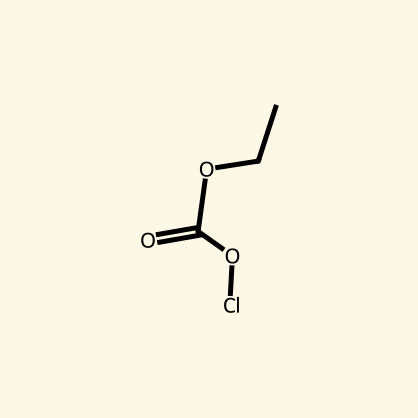 CCOC(=O)OCl